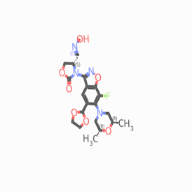 C[C@@H]1CN(c2c(C3OCCO3)cc3c(N4C(=O)OC[C@@H]4/C=N/O)noc3c2F)C[C@@H](C)O1